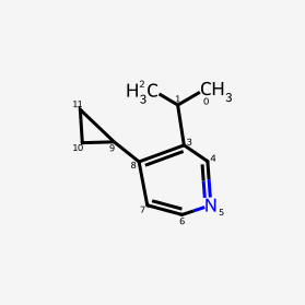 CC(C)c1cnccc1C1CC1